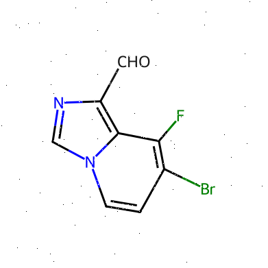 O=Cc1ncn2ccc(Br)c(F)c12